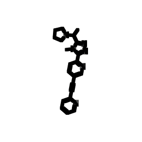 CC(c1nnc(-c2ccc(C#Cc3ccccn3)cn2)n1C)N1CCCC1